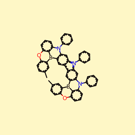 Cc1ccc2c(c1)B1c3cc4c5cc6c(cc5n(-c5ccccc5)c4cc3N(c3ccccc3)c3cccc(c31)O2)N(c1ccccc1)c1cccc2c1B6c1cc(C)ccc1O2